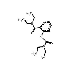 CCN(CC)C(=O)c1ncccc1OC(=S)N(CC)CC